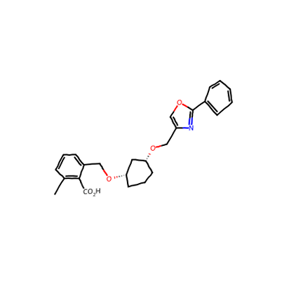 Cc1cccc(CO[C@H]2CCC[C@@H](OCc3coc(-c4ccccc4)n3)C2)c1C(=O)O